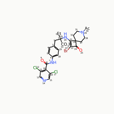 CC[C@@](Cc1ccc(NC(=O)c2c(Cl)cncc2Cl)cc1)(NC1=C(Br)C(=O)C12CCN(C(C)=O)CC2)C(=O)O